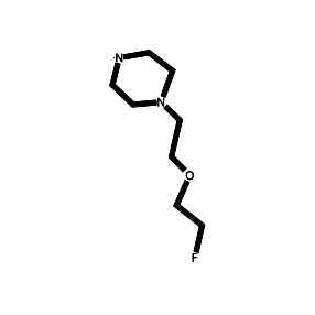 FCCOCCN1CC[N]CC1